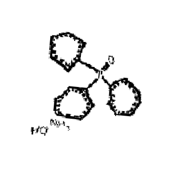 Cl.O=P(c1ccccc1)(c1ccccc1)c1ccccc1.[AlH3]